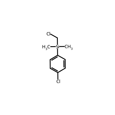 C[Si](C)(CCl)c1ccc(Cl)cc1